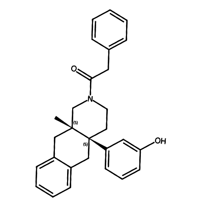 C[C@]12Cc3ccccc3C[C@@]1(c1cccc(O)c1)CCN(C(=O)Cc1ccccc1)C2